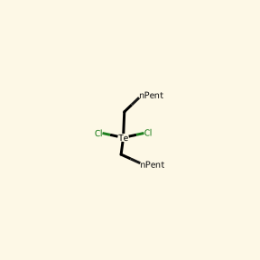 CCCCCC[Te](Cl)(Cl)CCCCCC